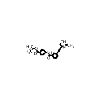 C=C/N=C(/C#Cc1cccc(C(=O)Nc2ccc(C(=O)OC(C)C)cc2)c1)C=C